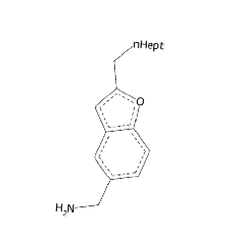 CCCCCCCCc1cc2cc(CN)ccc2o1